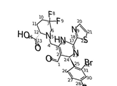 O=CC1=C(CN2CC(F)(F)CC[C@H]2C(=O)O)NC(c2nccs2)=N[C@H]1c1ccc(F)cc1Br